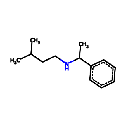 CC(C)CCNC(C)c1ccccc1